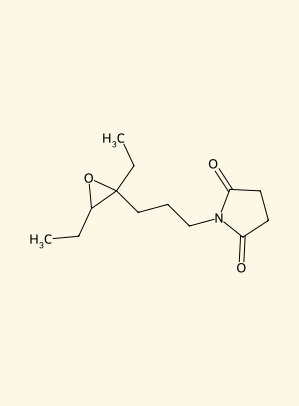 CCC1OC1(CC)CCCN1C(=O)CCC1=O